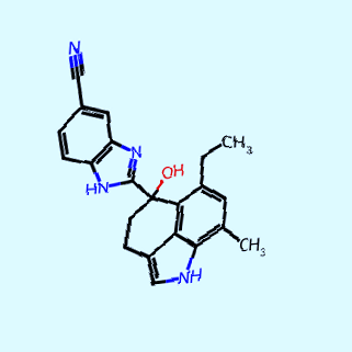 CCc1cc(C)c2[nH]cc3c2c1C(O)(c1nc2cc(C#N)ccc2[nH]1)CC3